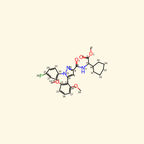 COC(=O)C(NC(=O)c1cc(-c2c(OC)cccc2OC)n(-c2ccc(F)cc2)n1)C1CCCCC1